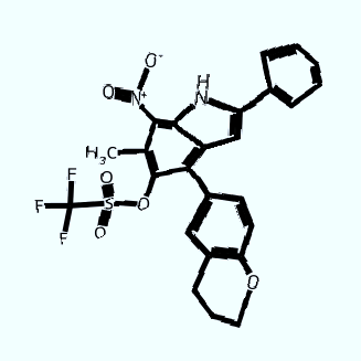 Cc1c(OS(=O)(=O)C(F)(F)F)c(-c2ccc3c(c2)CCCO3)c2cc(-c3ccccc3)[nH]c2c1[N+](=O)[O-]